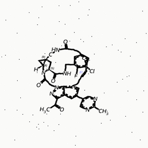 CC(=O)c1nn2c3c(cc(-c4cnc(C)nc4)cc13)C/C=C/CCCCC(=O)NC[C@@]13C[C@@H](C(=O)NCc4cccc(Cl)c4F)N(C(=O)C2)[C@@H]1C3